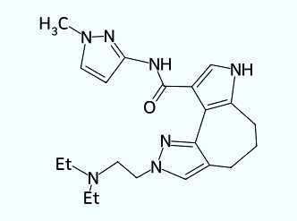 CCN(CC)CCn1cc2c(n1)-c1c(C(=O)Nc3ccn(C)n3)c[nH]c1CCC2